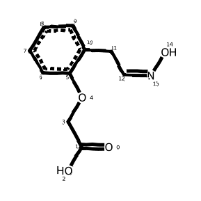 O=C(O)COc1ccccc1C/C=N\O